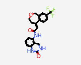 O=C(/C=C1\CCOCc2cc(C(F)(F)F)ccc21)Nc1cccc2c1CNC(=O)N2